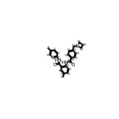 Cc1ccc(NC(=O)c2cc(C)ccc2NC(=O)c2ccc(CN3CCC3)cc2)nc1